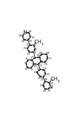 Cc1cc(-c2c3ccccc3c(-c3ccc(-c4cccnc4C)cc3)c3ccccc23)ccc1-c1ccncc1